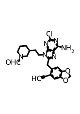 C#Cc1cc2c(cc1Cc1nc3c(N)nc(Cl)nc3n1CCC1CCCN(C=O)C1)OCO2